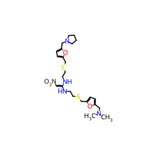 CN(C)Cc1ccc(CSCCN/C(=C/[N+](=O)[O-])NCCSCc2ccc(CN3CCCC3)o2)o1